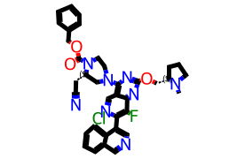 CN1CCC[C@H]1COc1nc(N2CCN(C(=O)OCc3ccccc3)[C@@H](CC#N)C2)c2cnc(-c3cncc4cccc(Cl)c34)c(F)c2n1